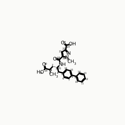 C[C@H](C[C@@H](Cc1ccc(-c2ccccc2)cc1)NC(=O)c1cc(C(=O)O)nn1C)C(=O)O